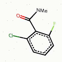 [CH2-][NH2+]C(=O)c1c(F)cccc1Cl